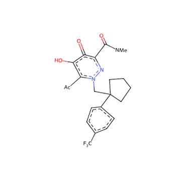 CNC(=O)c1nn(CC2(c3ccc(C(F)(F)F)cc3)CCCC2)c(C(C)=O)c(O)c1=O